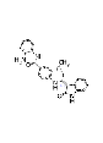 COC/C(Nc1ccc(C(=O)Nc2ccccc2N)cc1)=C1/C(=O)Nc2ccccc21